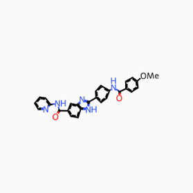 COc1ccc(C(=O)Nc2ccc(-c3nc4cc(C(=O)Nc5ccccn5)ccc4[nH]3)cc2)cc1